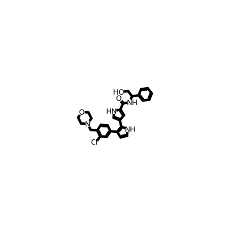 O=C(NC(CO)c1ccccc1)c1cc(-c2[nH]ccc2-c2ccc(CN3CCOCC3)c(Cl)c2)c[nH]1